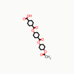 CC(=O)OC1CCC(OC(=O)C2CCC(OC(=O)C3CCC(C(=O)O)CC3)CC2)CC1